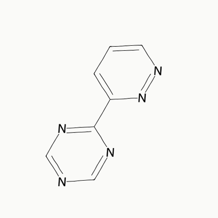 c1cnnc(-c2ncncn2)c1